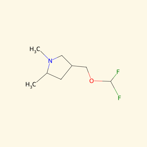 CC1CC(COC(F)F)CN1C